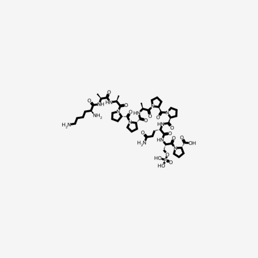 C[C@H](NC(=O)[C@@H](N)CCCCN)C(=O)N[C@@H](C)C(=O)N1CCC[C@H]1C(=O)N1CCC[C@H]1C(=O)N[C@@H](C)C(=O)N1CCC[C@H]1C(=O)N1CCC[C@H]1C(=O)N[C@@H](CCC(N)=O)C(=O)N[C@@H](COP(=O)(O)O)C(=O)N1CCC[C@H]1C(=O)O